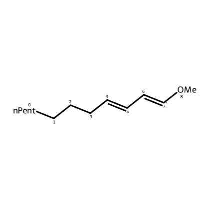 CCCCCCCCC=C/C=[C]/OC